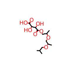 CC(C)COC(C)COC(C)COC(=O)C(O)C(O)C(=O)O